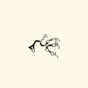 CO[Si](CN(C)CC1CO1)(OC)OC